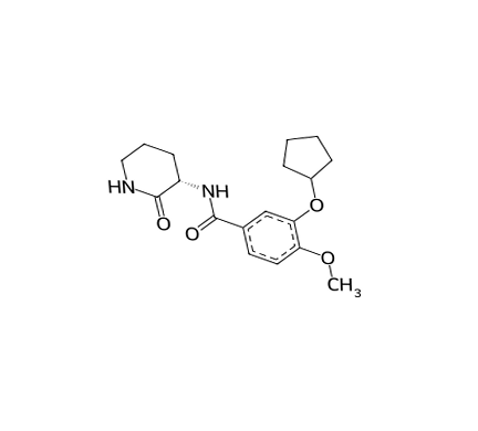 COc1ccc(C(=O)N[C@H]2CCCNC2=O)cc1OC1CCCC1